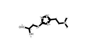 CN(C)CCc1nnc(SCC(O)C=O)s1